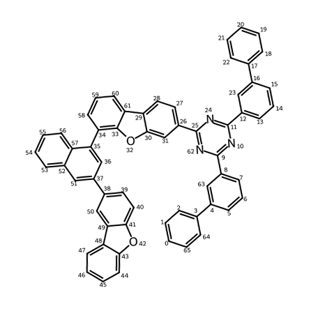 c1ccc(-c2cccc(-c3nc(-c4cccc(-c5ccccc5)c4)nc(-c4ccc5c(c4)oc4c(-c6cc(-c7ccc8oc9ccccc9c8c7)cc7ccccc67)cccc45)n3)c2)cc1